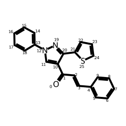 O=C(C=Cc1ccccc1)c1cn(-c2ccccc2)nc1-c1cccs1